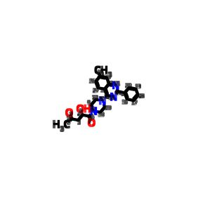 CC(=O)C[C@@H](O)C(=O)N1CCN(c2nc(-c3ccccc3)nc3cc(C)ccc23)CC1